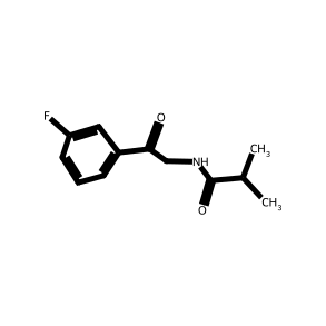 CC(C)C(=O)NCC(=O)c1cccc(F)c1